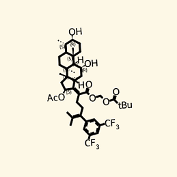 CC(=O)O[C@H]1C[C@@]2(C)[C@H](C[C@@H](O)[C@@H]3[C@@]4(C)CC[C@@H](O)[C@@H](C)C4CC[C@@]32C)C1=C(CCC(=C(C)C)c1cc(C(F)(F)F)cc(C(F)(F)F)c1)C(=O)OCOC(=O)C(C)(C)C